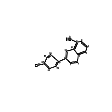 Oc1cccc2ccc(-c3ccc(Cl)cc3)cc12